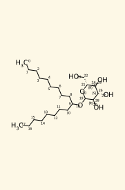 CCCCCCCCCC(CCCCCCCC)OC1O[C@H](CO)[C@@H](O)[C@H](O)[C@H]1O